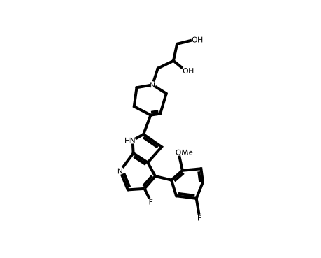 COc1ccc(F)cc1-c1c(F)cnc2[nH]c(C3=CCN(CC(O)CO)CC3)cc12